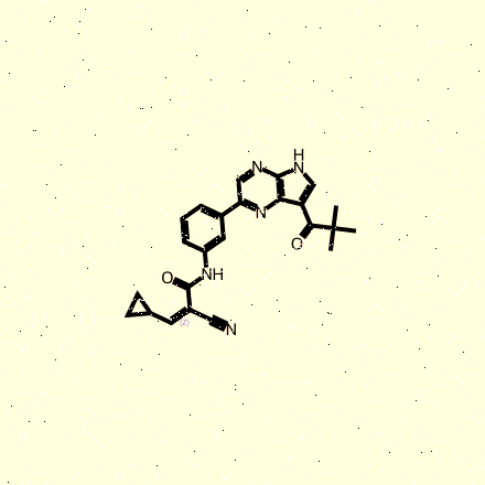 CC(C)(C)C(=O)c1c[nH]c2ncc(-c3cccc(NC(=O)/C(C#N)=C\C4CC4)c3)nc12